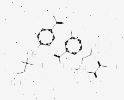 CC(C)(C)CNN.CCCNN.Cc1ccc(C(=O)Cl)cc1.Cc1cccc(C(=O)Cl)c1.O=C(O)C(=O)O